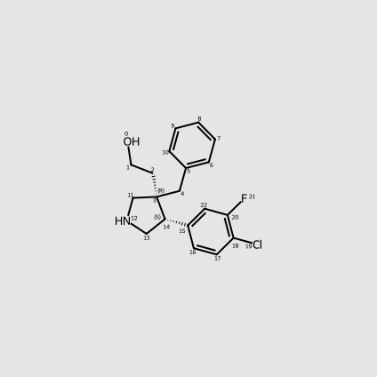 OCC[C@@]1(Cc2ccccc2)CNC[C@H]1c1ccc(Cl)c(F)c1